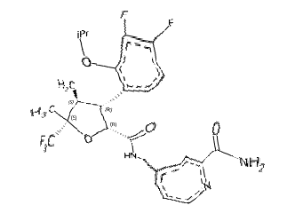 CC(C)Oc1c([C@@H]2[C@H](C(=O)Nc3ccnc(C(N)=O)c3)O[C@](C)(C(F)(F)F)[C@H]2C)ccc(F)c1F